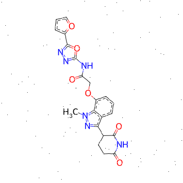 Cn1nc(C2CCC(=O)NC2=O)c2cccc(OCC(=O)Nc3nnc(-c4ccco4)o3)c21